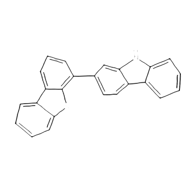 c1ccc2c(c1)[nH]c1cc(-c3cccc4c3sc3ccccc34)ccc12